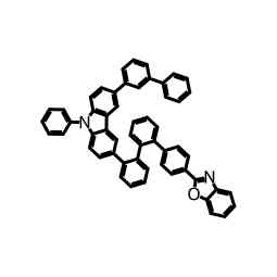 c1ccc(-c2cccc(-c3ccc4c(c3)c3cc(-c5ccccc5-c5ccccc5-c5ccc(-c6nc7ccccc7o6)cc5)ccc3n4-c3ccccc3)c2)cc1